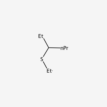 C[CH]SC(CC)CCC